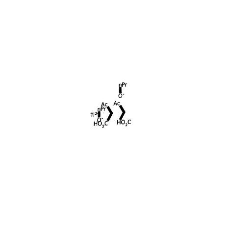 CC(=O)CC(=O)O.CC(=O)CC(=O)O.CCC[O-].CCC[O-].[Ti+2]